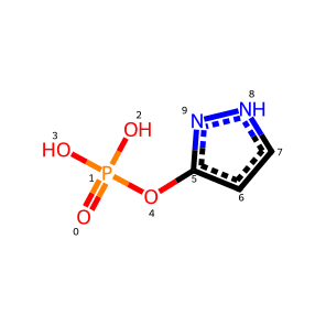 O=P(O)(O)Oc1cc[nH]n1